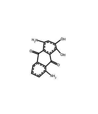 Nc1cccc2c1C(=O)c1c(O)c(O)cc(N)c1C2=O